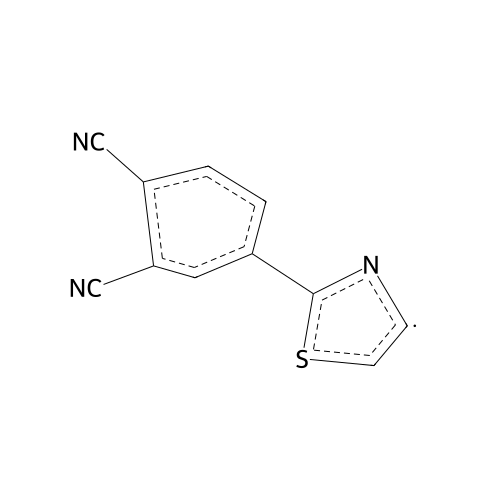 N#Cc1ccc(-c2n[c]cs2)cc1C#N